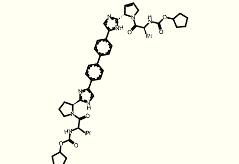 CC(C)C(NC(=O)OC1CCCC1)C(=O)N1CCC[C@H]1c1nc(-c2ccc(-c3ccc(-c4cnc([C@@H]5C=CCN5C(=O)[C@@H](NC(=O)OC5CCCC5)C(C)C)[nH]4)cc3)cc2)c[nH]1